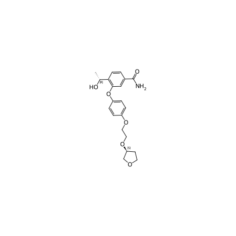 C[C@@H](O)c1ccc(C(N)=O)cc1Oc1ccc(OCCO[C@H]2CCOC2)cc1